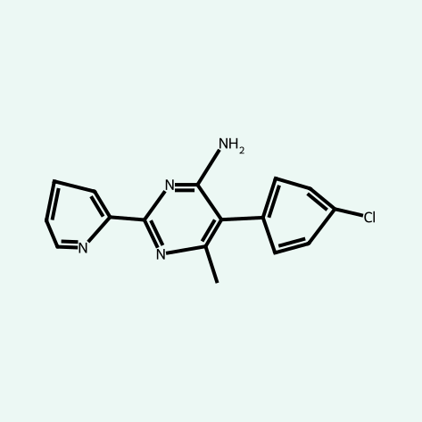 Cc1nc(-c2ccccn2)nc(N)c1-c1ccc(Cl)cc1